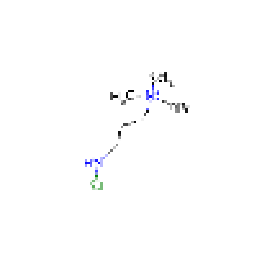 CCC[N+](C)(C)CCCNCl